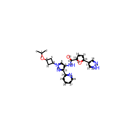 CC(C)OC1CC(n2cc(NC(=O)c3ccc(-c4cn[nH]c4)o3)c(-c3ccccn3)n2)C1